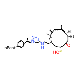 C=C1/C=C/C(C)=C/[C@H](CC)[C@@H](CC)CC(=O)C[C@H](SO)CC[C@@H](CCNCCN(N)/C=C(\C)c2ccc(CCCCC)cc2)C[C@H]1C